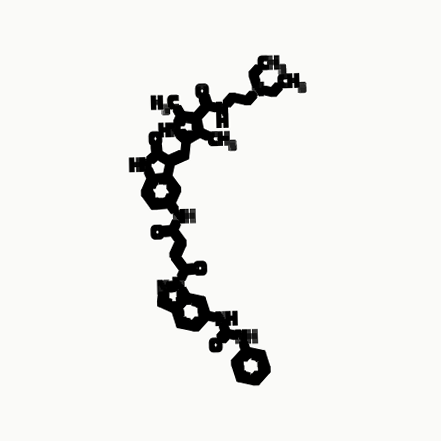 CCN(CC)CCNC(=O)c1c(C)[nH]c(/C=C2\C(=O)Nc3ccc(NC(=O)/C=C/C(=O)n4ncc5ccc(NC(=O)Nc6ccccc6)cc54)cc32)c1C